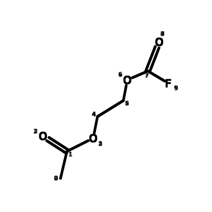 CC(=O)OCCOC(=O)F